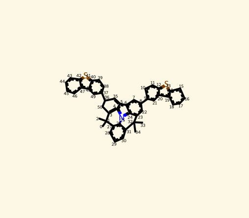 CC1(C)C2=c3c(c4cc(-c5ccc6sc7ccccc7c6c5)cc5c4n3-c3c1cccc3C5(C)C)=CC(c1ccc3sc4ccccc4c3c1)C2